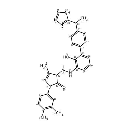 CC1=NN(c2ccc(C)c(C)c2)C(=O)C1NNc1cccc(-c2ccc(C(C)c3nnn[nH]3)cc2)c1O